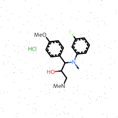 CNCC(O)C(c1ccc(OC)cc1)N(C)c1cccc(F)c1.Cl